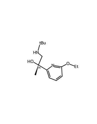 CCOc1cccc([C@](C)(O)CNC(C)(C)C)n1